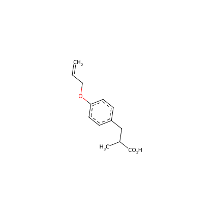 C=CCOc1ccc(CC(C)C(=O)O)cc1